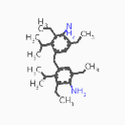 CCc1cc(Cc2cc(CC)c(N)c(CC)c2C(C)C)c(C(C)C)c(CC)c1N